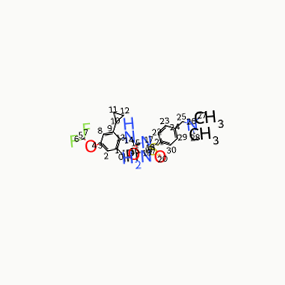 CC(C)c1cc(OC(F)F)cc(C2CC2)c1NC(=O)N=[S@](N)(=O)c1ccc(CN(C)C)cc1